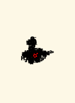 CC(C)([CH2][Sn]([CH2]C(C)(C)c1ccccc1)([CH2]C(C)(C)c1ccccc1)[O][Sn]([CH2]C(C)(C)c1ccccc1)([CH2]C(C)(C)c1ccccc1)[CH2]C(C)(C)c1ccccc1)c1ccccc1.O=C([O-])c1ccccc1C(=O)[O-].[Ni+2].c1c[nH]cn1